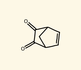 O=C1C(=O)C2C=CC1C2